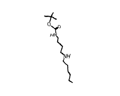 CCCCCCNCCCCNC(=O)OC(C)(C)C